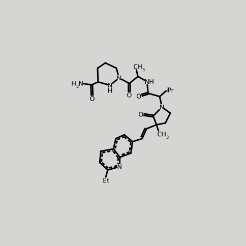 CCc1ccc2ccc(/C=C/C3(C)CCN(C(C(=O)NC(C)C(=O)N4CCCC(C(N)=O)N4)C(C)C)C3=O)cc2n1